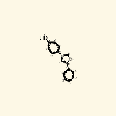 Oc1ccc(N2[CH]OC(c3ccccc3)=C2)cc1